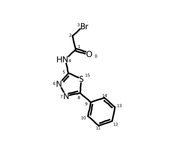 O=C(CBr)Nc1nnc(-c2ccccc2)s1